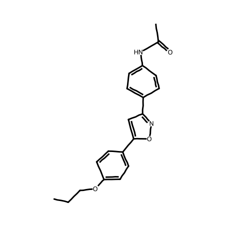 CCCOc1ccc(-c2cc(-c3ccc(NC(C)=O)cc3)no2)cc1